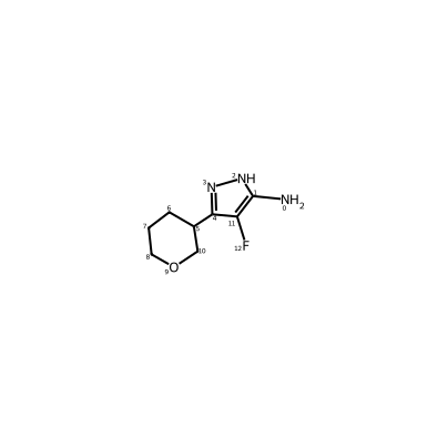 Nc1[nH]nc(C2CCCOC2)c1F